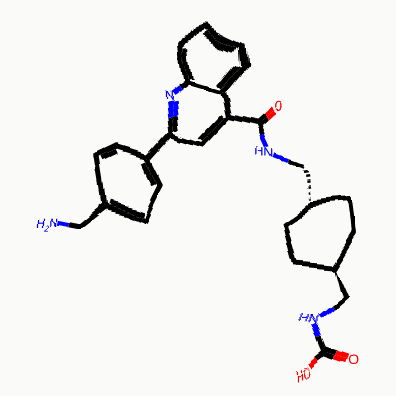 NCc1ccc(-c2cc(C(=O)NC[C@H]3CC[C@H](CNC(=O)O)CC3)c3ccccc3n2)cc1